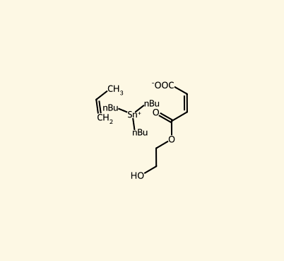 C=CC.CCC[CH2][Sn+]([CH2]CCC)[CH2]CCC.O=C([O-])/C=C\C(=O)OCCO